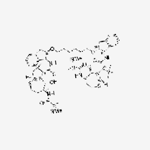 CN[C@@H](C)C(=O)N[C@H]1CCS[C@H]2CC(C)(C)[C@@H](C(=O)N[C@H]3c4ccccc4C[C@H]3OCCCCCCO[C@@H]3Cc4ccccc4C3NC(=O)[C@H]3N4C(O)[C@@H](NC(=O)[C@H](C)NC)CCS[C@H]4CC3(C)C)N2C1=O